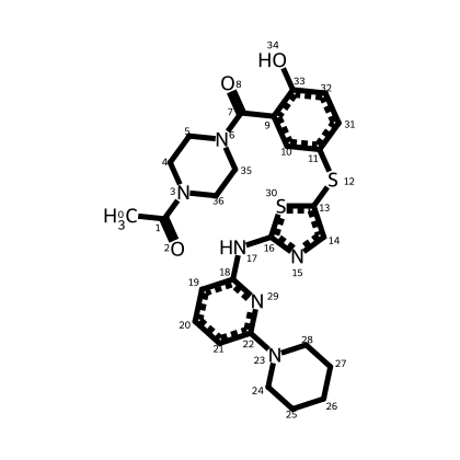 CC(=O)N1CCN(C(=O)c2cc(Sc3cnc(Nc4cccc(N5CCCCC5)n4)s3)ccc2O)CC1